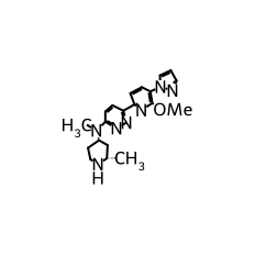 COc1nc(-c2ccc(N(C)[C@H]3CCN[C@@H](C)C3)nn2)ccc1-n1cccn1